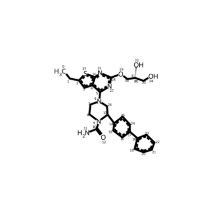 CCc1cc2c(N3CCN(C(N)=O)C(c4ccc(-c5ccccc5)cc4)C3)nc(OC[C@H](O)CO)nc2s1